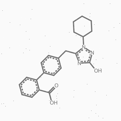 O=C(O)c1ccccc1-c1ccc(Cc2nc(O)nn2C2CCCCC2)cc1